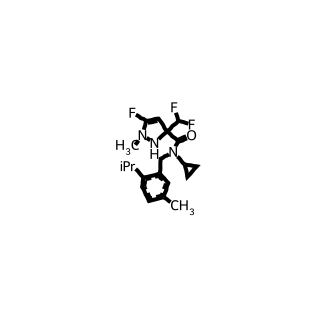 Cc1ccc(C(C)C)c(CN(C(=O)C2(C(F)F)C=C(F)N(C)N2)C2CC2)c1